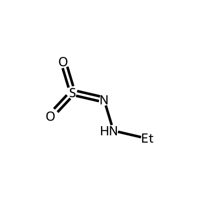 CCNN=S(=O)=O